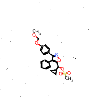 COCOc1ccc(-c2noc(C(OS(C)(=O)=O)C3CC3)c2-c2ccccc2)cc1